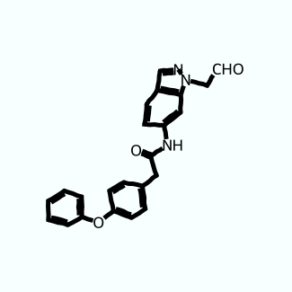 O=CCn1ncc2ccc(NC(=O)Cc3ccc(Oc4ccccc4)cc3)cc21